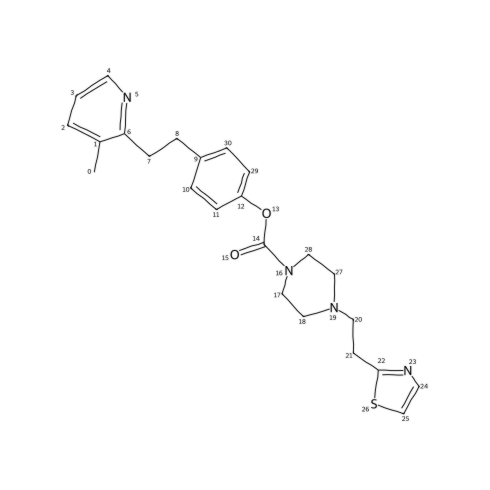 Cc1cccnc1CCc1ccc(OC(=O)N2CCN(CCc3nccs3)CC2)cc1